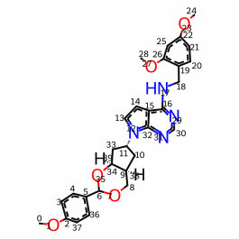 COc1ccc(C2OC[C@@H]3C[C@@H](n4ccc5c(NCc6ccc(OC)cc6OC)ncnc54)C[C@@H]3O2)cc1